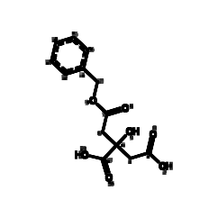 O=C(O)CC(O)(CC(=O)OCc1ccccc1)C(=O)O